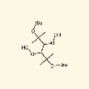 CC(C)(C)OC(C)(C)C(OO)C(OO)C(C)(C)OC(C)(C)C